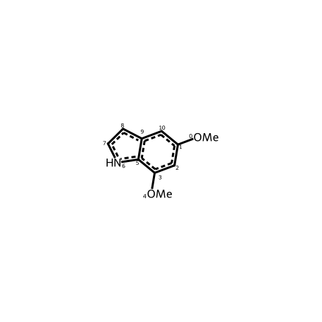 COc1cc(OC)c2[nH]ccc2c1